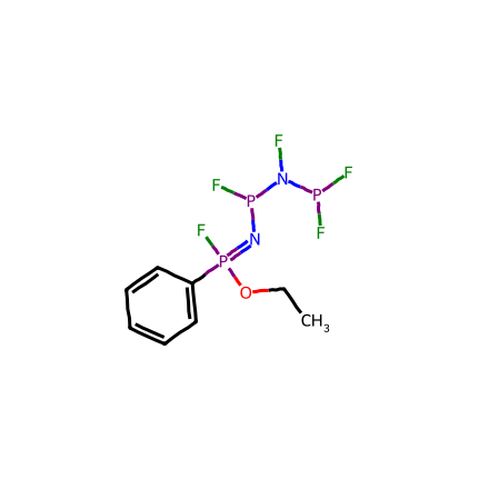 CCOP(F)(=NP(F)N(F)P(F)F)c1ccccc1